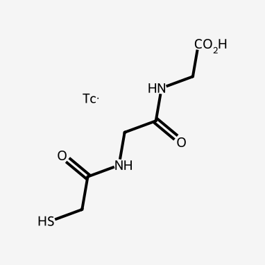 O=C(O)CNC(=O)CNC(=O)CS.[Tc]